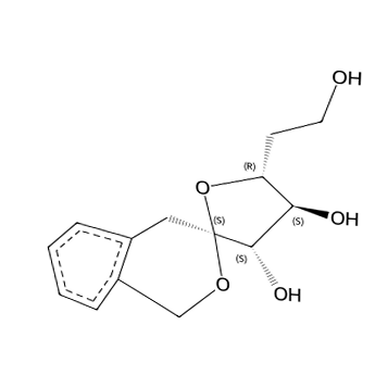 OCC[C@H]1O[C@@]2(Cc3ccccc3CO2)[C@@H](O)[C@@H]1O